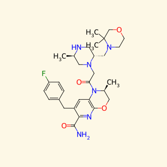 C[C@@H]1CN(CC(=O)N2c3cc(Cc4ccc(F)cc4)c(C(N)=O)nc3OC[C@@H]2C)[C@@H](CN2CCOCC2(C)C)CN1